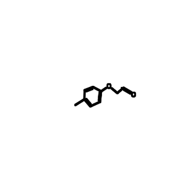 Cc1ccc(OC[C]=O)cc1